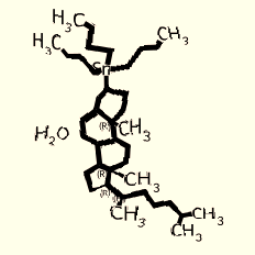 CCC[CH2][Sn]([CH2]CCC)([CH2]CCC)[CH]1CC[C@@]2(C)C(=CCC3C2CC[C@@]2(C)C3CC[C@@H]2[C@H](C)CCCC(C)C)C1.O